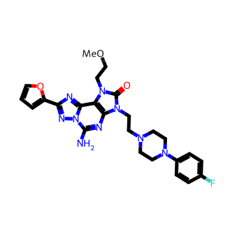 COCCn1c(=O)n(CCN2CCN(c3ccc(F)cc3)CC2)c2nc(N)n3nc(-c4ccco4)nc3c21